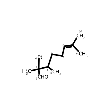 CCC(C)(C=O)C(C)CCC=C(C)C